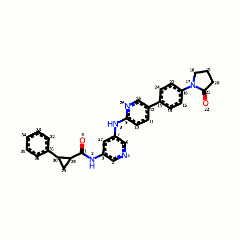 O=C(Nc1cncc(Nc2ccc(-c3ccc(N4CCCC4=O)cc3)cn2)c1)C1CC1c1ccccc1